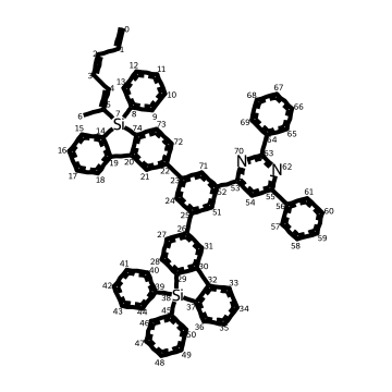 C=C/C=C\C=C(/C)[Si]1(c2ccccc2)c2ccccc2-c2cc(-c3cc(-c4ccc5c(c4)-c4ccccc4[Si]5(c4ccccc4)c4ccccc4)cc(-c4cc(-c5ccccc5)nc(-c5ccccc5)n4)c3)ccc21